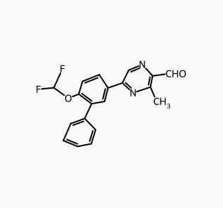 Cc1nc(-c2ccc(OC(F)F)c(-c3ccccc3)c2)cnc1C=O